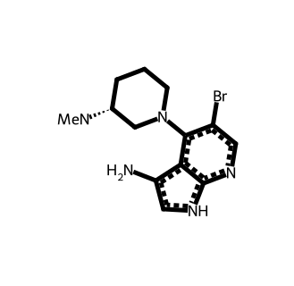 CN[C@@H]1CCCN(c2c(Br)cnc3[nH]cc(N)c23)C1